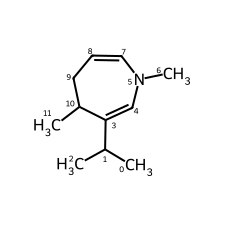 CC(C)C1=CN(C)C=CCC1C